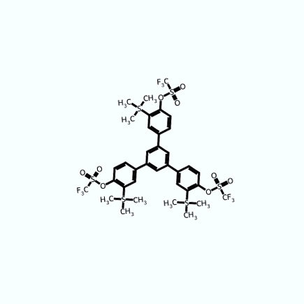 CS(C)(C)c1cc(-c2cc(-c3ccc(OS(=O)(=O)C(F)(F)F)c(S(C)(C)C)c3)cc(-c3ccc(OS(=O)(=O)C(F)(F)F)c(S(C)(C)C)c3)c2)ccc1OS(=O)(=O)C(F)(F)F